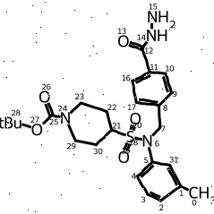 Cc1cccc(N(Cc2ccc(C(=O)NN)cc2)S(=O)(=O)C2CCN(C(=O)OC(C)(C)C)CC2)c1